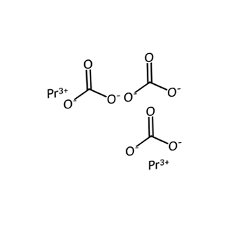 O=C([O-])[O-].O=C([O-])[O-].O=C([O-])[O-].[Pr+3].[Pr+3]